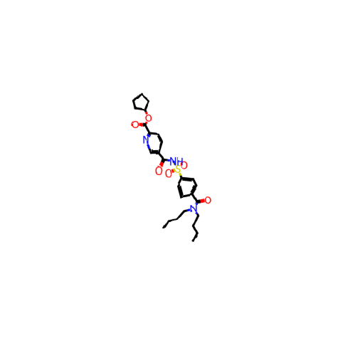 CCCCN(CCCC)C(=O)c1ccc(S(=O)(=O)NC(=O)c2ccc(C(=O)OC3CCCC3)nc2)cc1